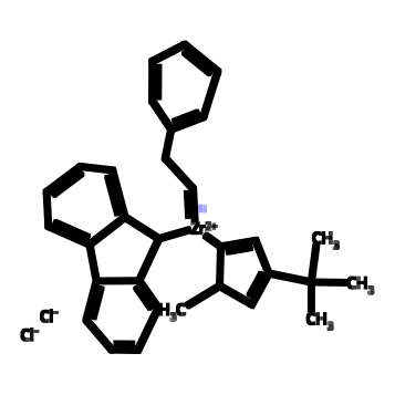 CC1C=C(C(C)(C)C)C=[C]1/[Zr+2](=[CH]/Cc1ccccc1)[CH]1c2ccccc2-c2ccccc21.[Cl-].[Cl-]